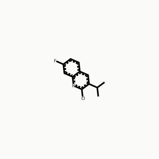 CC(C)c1cc2ccc(F)cc2nc1Cl